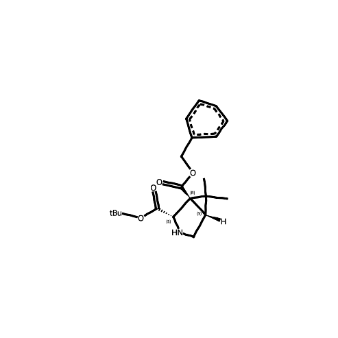 CC(C)(C)OC(=O)[C@H]1NC[C@H]2C(C)(C)[C@@]12C(=O)OCc1ccccc1